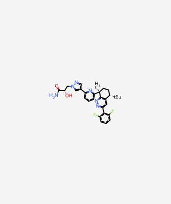 CC(C)(C)[C@H]1CC[C@](C)(c2cccc(-c3cnn(C[C@H](O)C(N)=O)c3)n2)c2nnc(-c3c(F)cccc3F)cc21